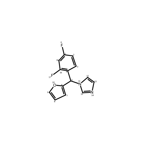 Fc1ccc(C(c2ccco2)n2ccnc2)c(F)c1